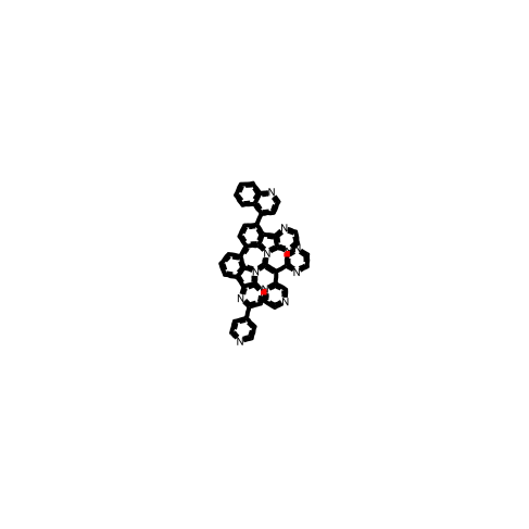 c1ccc2c(-c3ccc4c5cccc6c7nc(-c8ccncc8)cnc7n(c(=C(c7cnccn7)c7cnccn7)n7c8nccnc8c3c47)c56)ccnc2c1